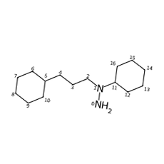 NN(CCCC1CCCCC1)C1CCCCC1